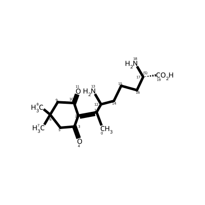 CC(=C1C(=O)CC(C)(C)CC1=O)C(N)CCC[C@H](N)C(=O)O